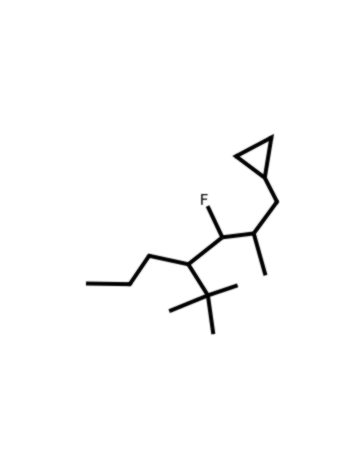 CCCC(C(F)C(C)CC1CC1)C(C)(C)C